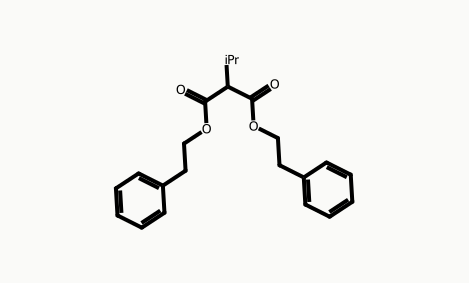 CC(C)C(C(=O)OCCc1ccccc1)C(=O)OCCc1ccccc1